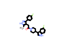 Cc1[nH]nc(-c2ccc(F)cc2)c1CC(=O)N1CCC(c2c[nH]c3ccc(F)cc23)CC1